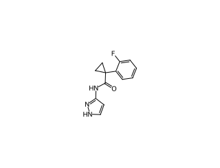 O=C(Nc1cc[nH]n1)C1(c2ccccc2F)CC1